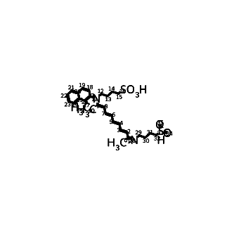 CC(/C=C/C=C/C=C/C=C(\C)N(CCCCS(=O)(=O)O)c1ccc2ccccc2c1C)=N/CCCC[SH](=O)=O